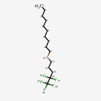 CCCCCCCCCCSCCCC(F)(F)C(F)(F)F